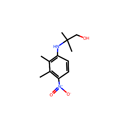 Cc1c(NC(C)(C)CO)ccc([N+](=O)[O-])c1C